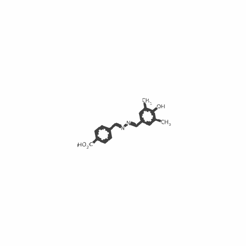 Cc1cc(/C=N/N=C/c2ccc(C(=O)O)cc2)cc(C)c1O